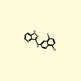 CCc1ccc(F)c2cc(Nc3n[nH]c4cccnc34)ccc12